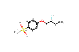 CC[C@@H](F)COc1ccc(S(C)(=O)=O)cc1